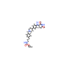 CC(C)(C)OC(=O)NCCCc1ccc(CN2CCC(c3ccc(NC4CCC(=O)NC4=O)cc3)CC2)cc1